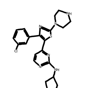 Clc1cccc(-c2nc(N3CCNCC3)sc2-c2ccnc(NC3CCCC3)n2)c1